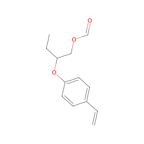 C=Cc1ccc(OC(CC)COC=O)cc1